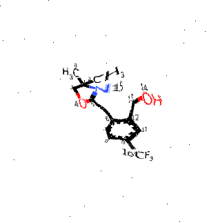 CC1(C)COC(c2ccc(C(F)(F)F)cc2CO)=N1